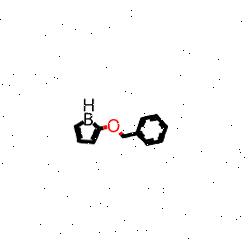 B1C=CC=C1OCc1ccccc1